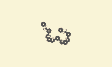 O=C(Oc1ccccc1)c1cccc(-c2ccc3ccc4ccc(-c5cccc(-c6ccc7ccc8ccc(-c9cccc(C(=O)Oc%10ccccc%10)c9)nc8c7n6)c5)nc4c3n2)c1